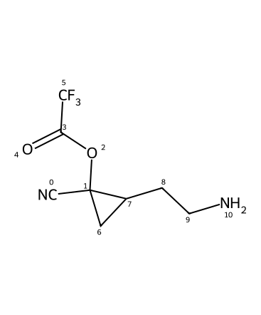 N#CC1(OC(=O)C(F)(F)F)CC1CCN